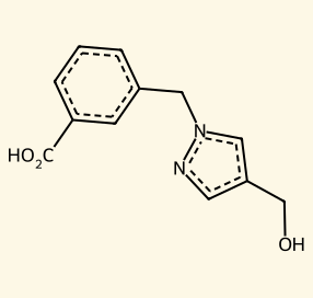 O=C(O)c1cccc(Cn2cc(CO)cn2)c1